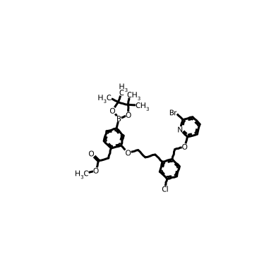 COC(=O)Cc1ccc(B2OC(C)(C)C(C)(C)O2)cc1OCCCc1cc(Cl)ccc1COc1cccc(Br)n1